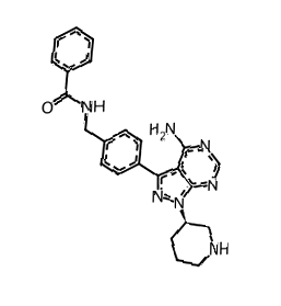 Nc1ncnc2c1c(-c1ccc(CNC(=O)c3ccccc3)cc1)nn2[C@@H]1CCCNC1